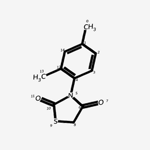 Cc1ccc(N2C(=O)CSC2=O)c(C)c1